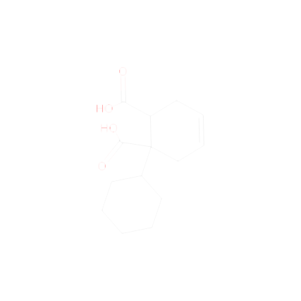 O=C(O)C1CC=CCC1(C(=O)O)C1CCCCC1